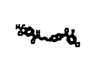 Cc1ccc(C(=O)NCCCN2CC3CN(C(=O)c4ccc(Cl)cc4F)CC3C2)cc1Cl